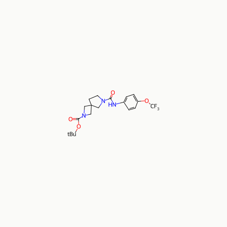 CC(C)(C)OC(=O)N1CC2(CCN(C(=O)Nc3ccc(OC(F)(F)F)cc3)C2)C1